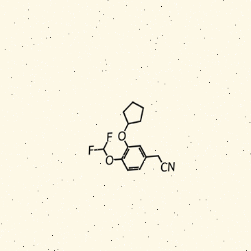 N#CCc1ccc(OC(F)F)c(OC2CCCC2)c1